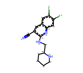 N#Cc1cc2cc(F)c(F)cc2nc1NCC1CCCCN1